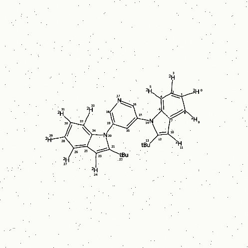 [2H]c1c([2H])c([2H])c2c(c1[2H])c([2H])c(C(C)(C)C)n2-c1cncc(-n2c(C(C)(C)C)c([2H])c3c([2H])c([2H])c([2H])c([2H])c32)c1